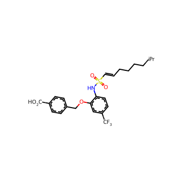 CC(C)CCCCC=CS(=O)(=O)Nc1ccc(C(F)(F)F)cc1OCc1ccc(C(=O)O)cc1